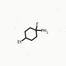 CCC1CCC(F)(P)CC1